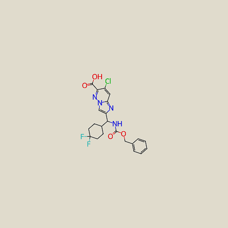 O=C(NC(c1cn2nc(C(=O)O)c(Cl)cc2n1)C1CCC(F)(F)CC1)OCc1ccccc1